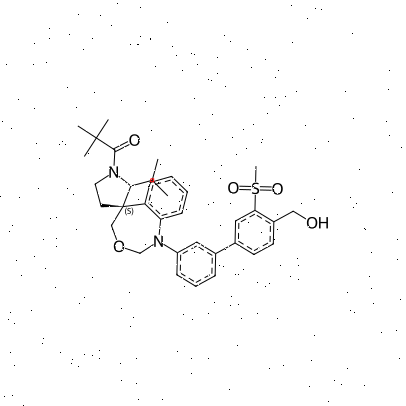 CC(C)C1N(C(=O)C(C)(C)C)CC[C@@]12COCN(c1cccc(-c3ccc(CO)c(S(C)(=O)=O)c3)c1)c1ccccc12